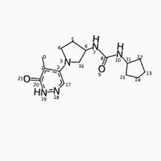 Cc1c(N2CCC(NC(=O)NC3CCCC3)C2)cn[nH]c1=O